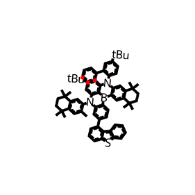 Cc1cc2c(cc1N1c3cc(-c4cccc5sc6ccccc6c45)ccc3B3c4cc5c(cc4N(c4ccc(C(C)(C)C)cc4-c4ccccc4)c4cc(C(C)(C)C)cc1c43)C(C)(C)CCC5(C)C)C(C)(C)CCC2(C)C